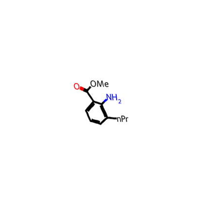 CCCc1cccc(C(=O)OC)c1N